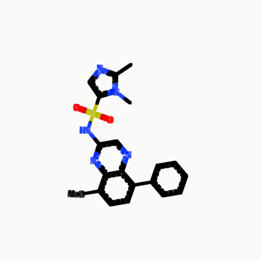 COc1ccc(-c2ccccc2)c2ncc(NS(=O)(=O)c3cnc(C)n3C)nc12